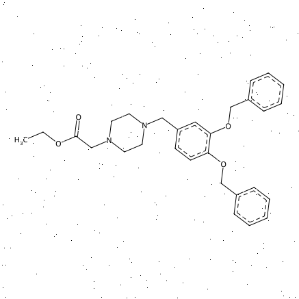 CCOC(=O)CN1CCN(Cc2ccc(OCc3ccccc3)c(OCc3ccccc3)c2)CC1